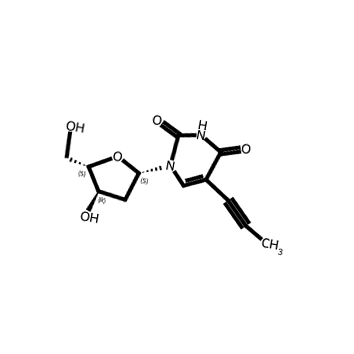 CC#Cc1cn([C@@H]2C[C@@H](O)[C@H](CO)O2)c(=O)[nH]c1=O